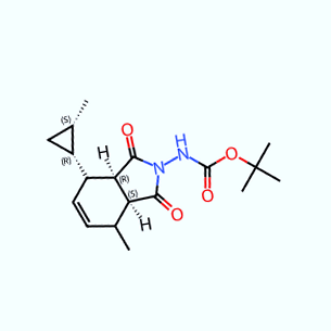 CC1C=CC([C@@H]2C[C@@H]2C)[C@H]2C(=O)N(NC(=O)OC(C)(C)C)C(=O)[C@@H]12